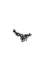 Cc1cc(C(=O)O)c(C2CCC(c3ccc(OCC4CO4)cc3)CC2)c(C)c1OCC1CO1